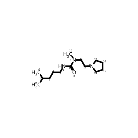 CC(C)CCCNC(=O)N(C)CCN1CCCC1